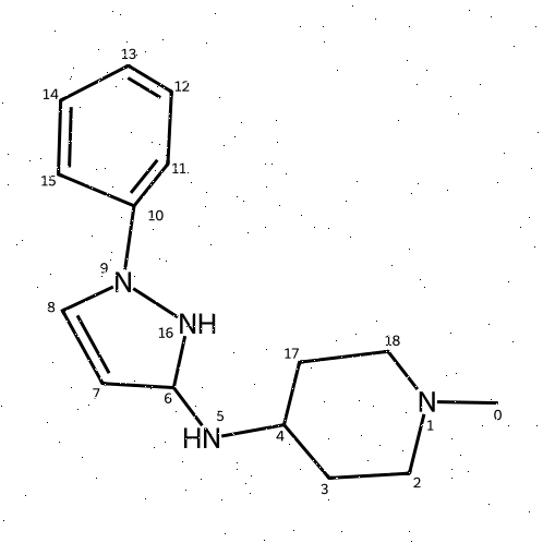 CN1CCC(NC2C=CN(c3ccccc3)N2)CC1